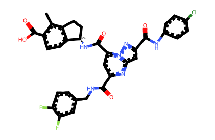 Cc1c(C(=O)O)ccc2c1CC[C@@H]2NC(=O)c1cc(C(=O)NCc2ccc(F)c(F)c2)nc2cc(C(=O)Nc3ccc(Cl)cc3)nn12